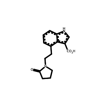 O=C(O)c1c[nH]c2cccc(CCN3CCCC3=O)c12